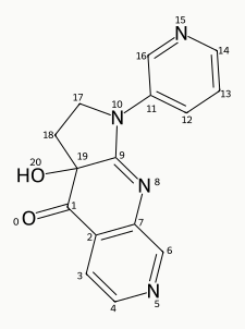 O=C1c2ccncc2N=C2N(c3cccnc3)CCC12O